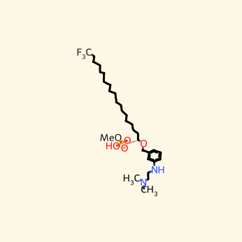 COP(=O)(O)OC[C@H](CCCCCCCCCCCCCCCCCC(F)(F)F)OCc1cccc(NCCN(C)C)c1